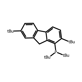 CC(C)(C)c1ccc2c(c1)Cc1c-2ccc(C(C)(C)C)c1P(C(C)(C)C)C(C)(C)C